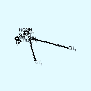 CCCCCCCCCCCCCCCCCCCCCCCCCCN[C@@H](CO[C@@H]1O[C@H](COC(=S)Nc2ccccc2OC(F)(F)F)[C@H](O)[C@H](O)[C@H]1O)[C@H](O)[C@H](O)CCCCCCCCCCCCCC